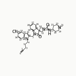 C#CCCCn1c(CN2C(=O)C3(CN(C(=O)NC4CCN(C)CC4)C3)c3ccccc32)cc2cc(Cl)ccc21